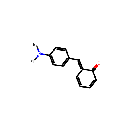 CCN(CC)c1ccc(C=C2[C]=CC=CC2=O)cc1